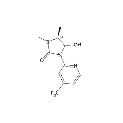 CB1C(=O)N(c2cc(C(F)(F)F)ccn2)C(O)[C@@H]1C